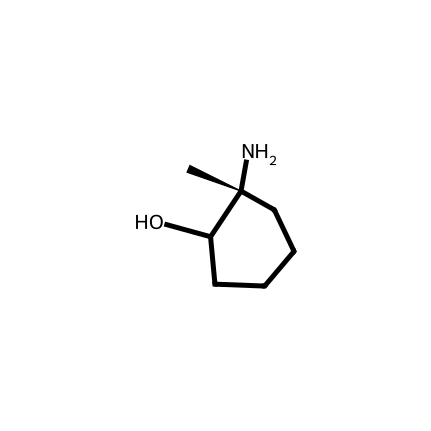 C[C@@]1(N)CCCCC1O